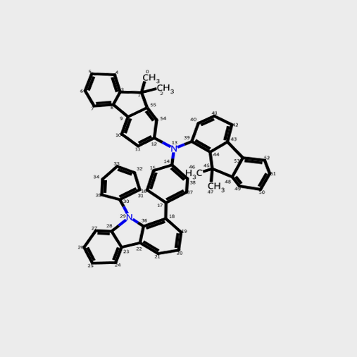 CC1(C)c2ccccc2-c2ccc(N(c3ccc(-c4cccc5c6ccccc6n(-c6ccccc6)c45)cc3)c3cccc4c3C(C)(C)c3ccccc3-4)cc21